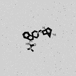 CN(C)C(=O)N[C@H]1CC2(CCN(C[C@@H]3CC45C[C@@H]4C=C[C@H]35)CC2)c2ccccc21